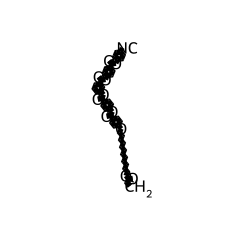 [C-]#[N+]c1ccc(OC(=O)c2ccc(OC(=O)c3cccc(OC(=O)c4ccc(OC(=O)c5ccc(OCCCCCCCCCCCCOC(=O)C=C)cc5)cc4)c3)cc2)cc1